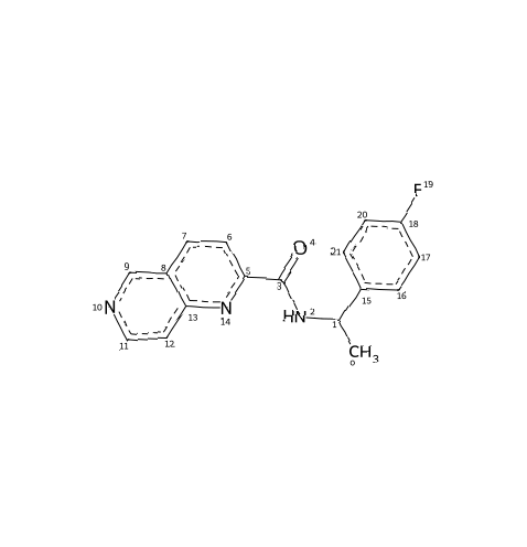 CC(NC(=O)c1ccc2cnccc2n1)c1ccc(F)cc1